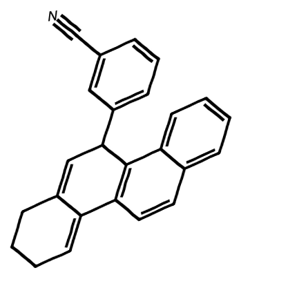 N#Cc1cccc(C2C=C3CCCC=C3c3ccc4ccccc4c32)c1